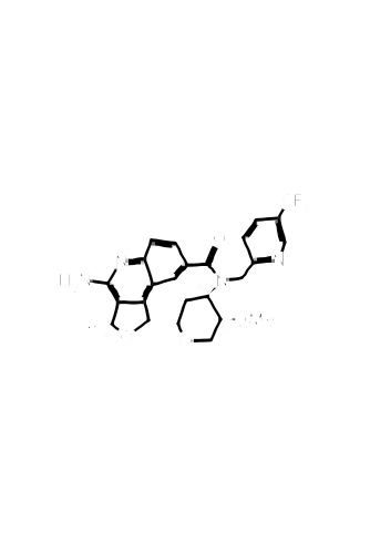 CO[C@@H]1COCC[C@H]1N(Cc1ccc(C(F)(F)F)cn1)C(=O)c1ccc2nc(N)c3c(c2c1)CO[C@@H]3C